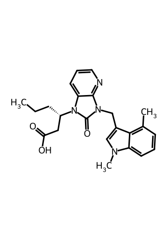 CCC[C@@H](CC(=O)O)n1c(=O)n(Cc2cn(C)c3cccc(C)c23)c2ncccc21